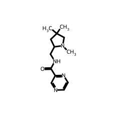 CN1CC(C)(C)CC1CNC(=O)c1cnccn1